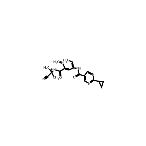 C=N/C(=C\C(=C/C)NC(=O)c1cnc(C2CC2)nc1)C(=O)NC(C)(C)C#N